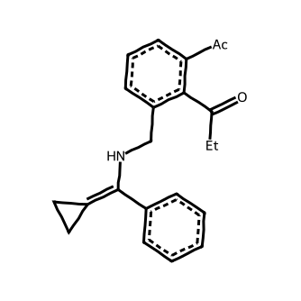 CCC(=O)c1c(CNC(=C2CC2)c2ccccc2)cccc1C(C)=O